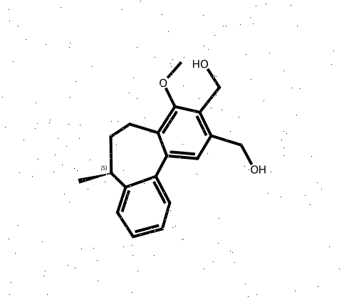 COc1c(CO)c(CO)cc2c1CC[C@H](C)c1ccccc1-2